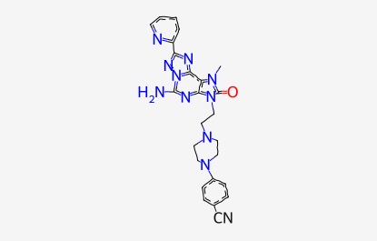 Cn1c(=O)n(CCN2CCN(c3ccc(C#N)cc3)CC2)c2nc(N)n3nc(-c4ccccn4)nc3c21